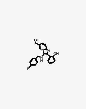 OCc1ccc2nc(-c3ccccc3O)c(NCc3ccc(F)cc3)n2c1